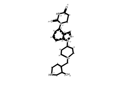 CC1CNCCC1CN1CCC(n2ncc3c(N4CCC(=O)NC4=O)cccc32)CC1